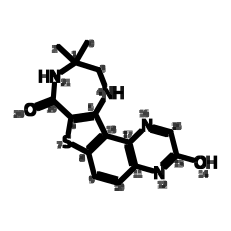 CC1(C)CNc2c(sc3ccc4nc(O)cnc4c23)C(=O)N1